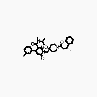 Cc1cccc(-c2cc(=O)n(CC3(O)CCN(C(=O)C[C@@H](C)c4ccccc4)CC3)cc2C(=O)N(C)C(C)C)c1